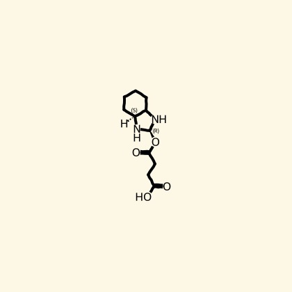 O=C(O)CCC(=O)O[C@@H]1NC2CCCC[C@@H]2N1